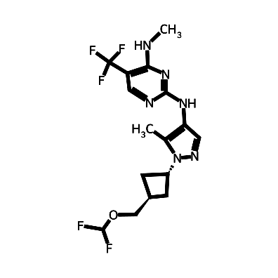 CNc1nc(Nc2cnn([C@H]3C[C@H](COC(F)F)C3)c2C)ncc1C(F)(F)F